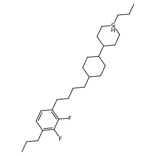 CCCc1ccc(CCCCC2CCC(C3CC[SiH](CCC)CC3)CC2)c(F)c1F